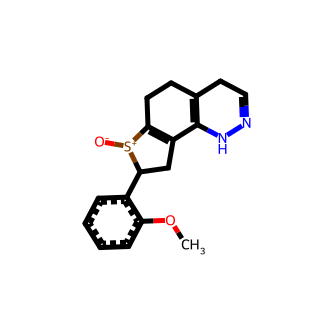 COc1ccccc1C1CC2=C(CCC3=C2NN=CC3)[S+]1[O-]